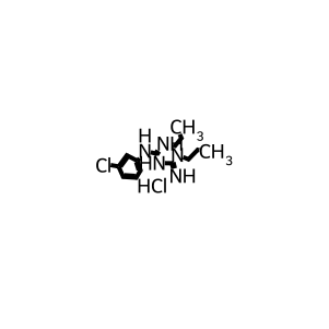 CCCN(CCC)C(=N)NC(=N)Nc1cccc(Cl)c1.Cl